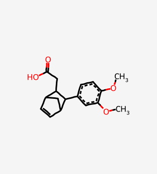 COc1ccc(C2C3C=CC(C3)C2CC(=O)O)cc1OC